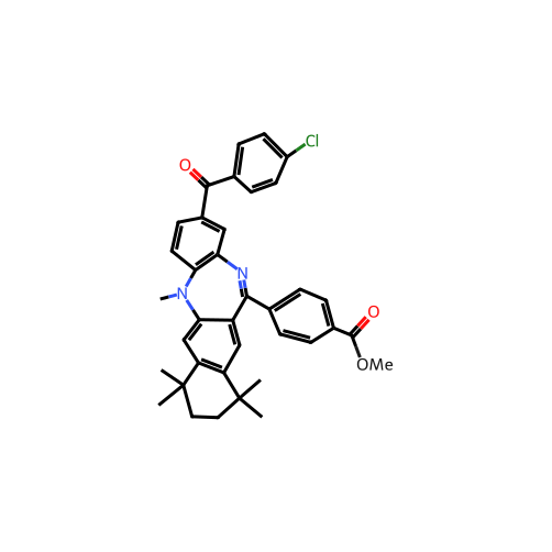 COC(=O)c1ccc(C2=Nc3cc(C(=O)c4ccc(Cl)cc4)ccc3N(C)c3cc4c(cc32)C(C)(C)CCC4(C)C)cc1